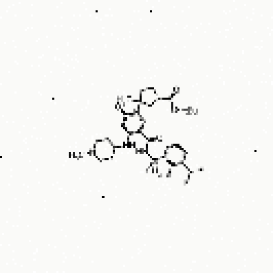 C[C@@H](NC(=O)c1cn(C2(C)CCN(C(=O)OC(C)(C)C)C2)c(=O)cc1NC1CCN(C)CC1)c1cccc(C(F)F)c1F